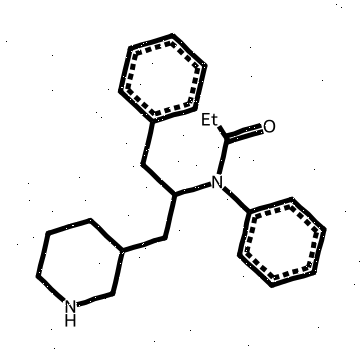 CCC(=O)N(c1ccccc1)C(Cc1ccccc1)CC1CCCNC1